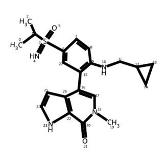 CC(C)S(=N)(=O)c1ccc(NCC2CC2)c(-c2cn(C)c(=O)c3[nH]ccc23)c1